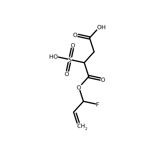 C=CC(F)OC(=O)C(CC(=O)O)S(=O)(=O)O